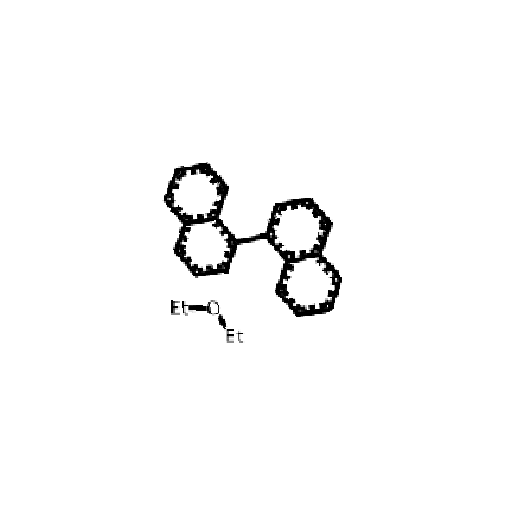 CCOCC.c1ccc2c(-c3cccc4ccccc34)cccc2c1